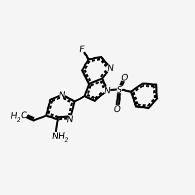 C=Cc1cnc(-c2cn(S(=O)(=O)c3ccccc3)c3ncc(F)cc23)nc1N